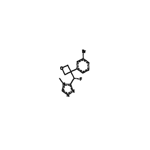 Cn1cnnc1C(F)C1(c2cccc(Br)c2)COC1